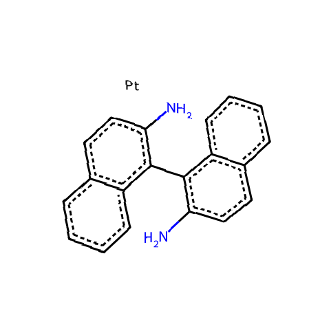 Nc1ccc2ccccc2c1-c1c(N)ccc2ccccc12.[Pt]